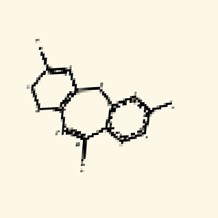 Cc1ccc2c(c1)CC1=C(CCC(F)=C1)N=C2Cl